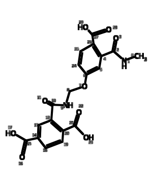 CNC(=O)c1cc(OCNC(=O)c2cc(C(=O)O)ccc2C(=O)O)ccc1C(=O)O